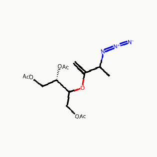 C=C(OC(COC(C)=O)[C@H](COC(C)=O)OC(C)=O)C(C)N=[N+]=[N-]